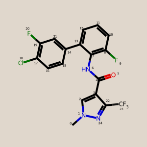 Cn1cc(C(=O)Nc2c(F)cccc2-c2ccc(Cl)c(F)c2)c(C(F)(F)F)n1